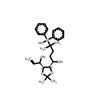 C=CC(O)[C@@H]1OC(C)(C)O[C@@H]1C(O)CCC(C)(C)[Si](O)(c1ccccc1)c1ccccc1